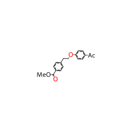 COC(=O)c1ccc(CCOc2ccc(C(C)=O)cc2)cc1